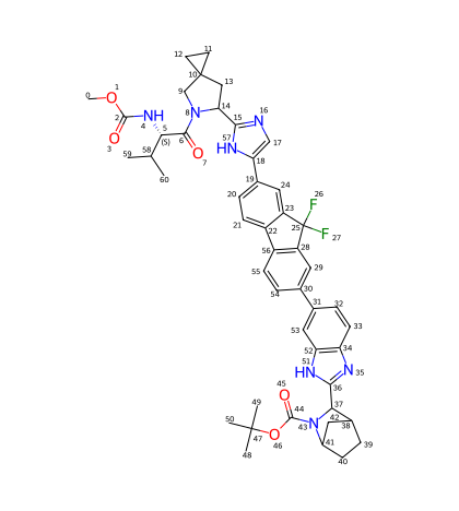 COC(=O)N[C@H](C(=O)N1CC2(CC2)CC1c1ncc(-c2ccc3c(c2)C(F)(F)c2cc(-c4ccc5nc(C6C7CCC(C7)N6C(=O)OC(C)(C)C)[nH]c5c4)ccc2-3)[nH]1)C(C)C